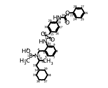 CB(O)N(Cc1ccccc1NS(=O)(=O)c1ccc(NC(=O)Oc2ccccc2)cc1)C(C)CC1CCCCC1